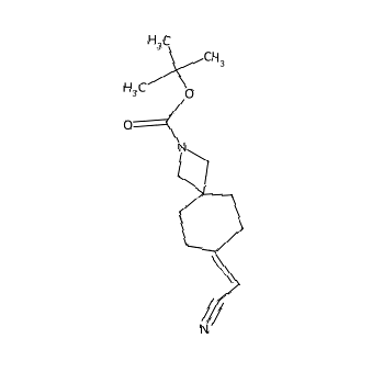 CC(C)(C)OC(=O)N1CC2(CCC(=CC#N)CC2)C1